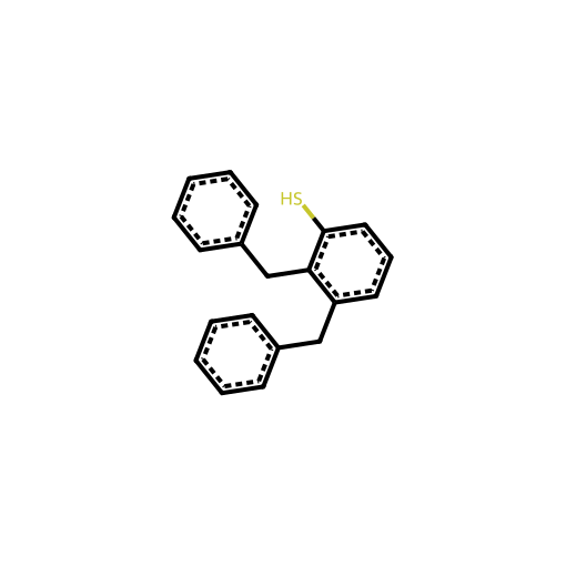 Sc1cccc(Cc2ccccc2)c1Cc1ccccc1